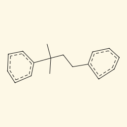 CC(C)(CCc1ccccc1)c1ccccc1